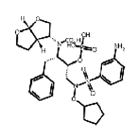 Nc1cccc(S(=O)(=O)N(C[C@@H](OP(=O)(O)O)[C@H](Cc2ccccc2)N(C(=O)O)[C@H]2CO[C@H]3OCC[C@H]32)OC2CCCC2)c1